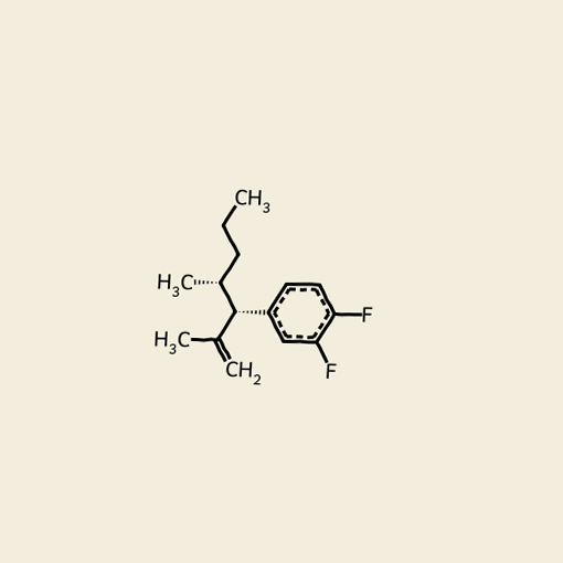 C=C(C)[C@@H](c1ccc(F)c(F)c1)[C@H](C)CCC